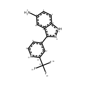 Nc1ccc2[nH]nc(-c3ccnc(C(F)(F)F)c3)c2c1